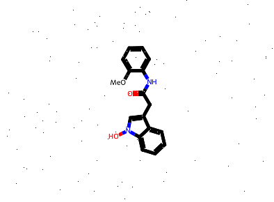 COc1ccccc1NC(=O)Cc1cn(O)c2ccccc12